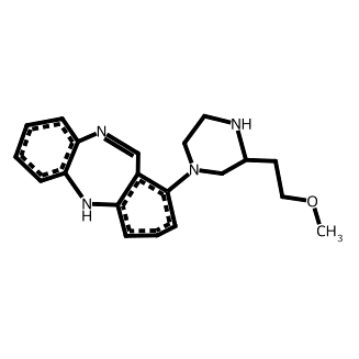 COCCC1CN(c2cccc3c2C=Nc2ccccc2N3)CCN1